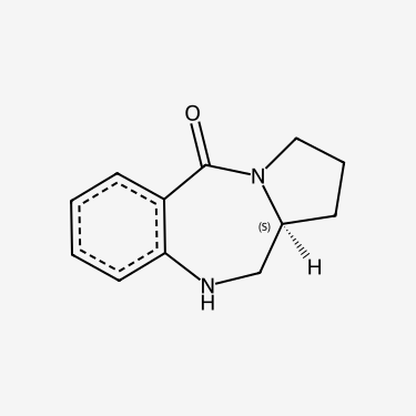 O=C1c2ccccc2NC[C@@H]2CCCN12